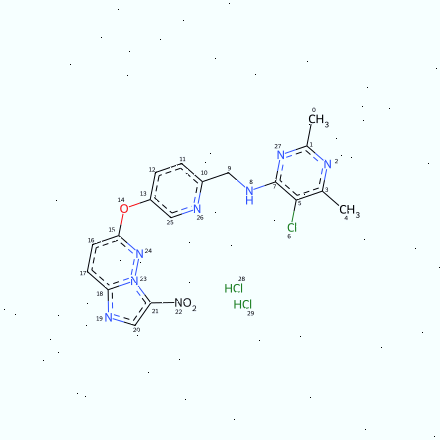 Cc1nc(C)c(Cl)c(NCc2ccc(Oc3ccc4ncc([N+](=O)[O-])n4n3)cn2)n1.Cl.Cl